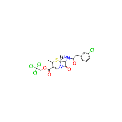 CC1S[C@@H]2C(NC(=O)Cc3cccc(Cl)c3)C(=O)N2C=C1C(=O)OCC(Cl)(Cl)Cl